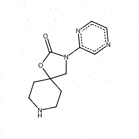 O=C1OC2(CCNCC2)CN1c1cnccn1